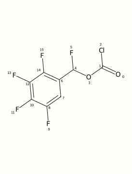 O=C(Cl)OC(F)c1cc(F)c(F)c(F)c1F